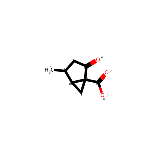 CC1CC(=O)C2(C(=O)O)CC12